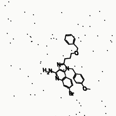 COc1ccc(Cn2c(CCCOCc3ccccc3)nc3c(N)nc4cc(Br)ccc4c32)cc1